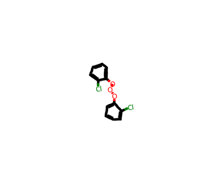 Clc1ccccc1OOOc1ccccc1Cl